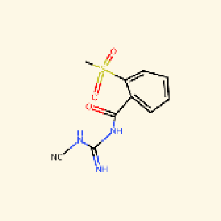 CS(=O)(=O)c1ccccc1C(=O)NC(=N)NC#N